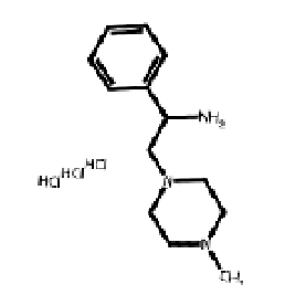 CN1CCN(CC(N)c2ccccc2)CC1.Cl.Cl.Cl